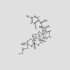 CCOC[C@@]1(O)CC[C@@H]2C3CC[C@]4(C)[C@@H]([C@H](C)NC(=O)c5ccc(F)cc5F)CCC[C@H]4[C@@H]3CC[C@@H]2C1